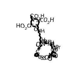 CC[C@H](C)[C@@H]1NC(=O)[C@H](CC(C)C)NC(=O)C2(CCOCC2)NC(=O)CCSCc2cccc(n2)CSC[C@@H](C(=O)NCCCCCNC(=O)CN2CCN(CC(=O)O)CCN(CC(=O)O)CCN(CC(=O)O)CC2)NC1=O